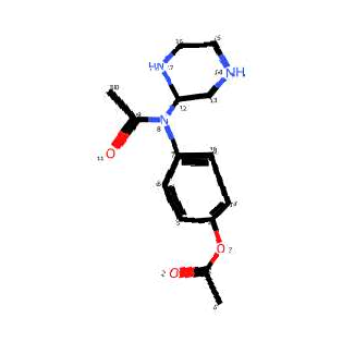 CC(=O)Oc1ccc(N(C(C)=O)C2CNCCN2)cc1